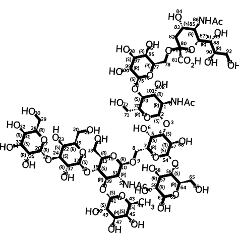 CC(=O)N[C@H]1[C@H](O[C@H]2[C@@H](O)[C@@H](CO[C@@H]3O[C@H](CO)[C@@H](O[C@@H]4O[C@H](CO)[C@H](O)[C@H](O[C@H]5O[C@H](CO)[C@H](O)[C@H](O)[C@H]5O)[C@H]4O)[C@H](O[C@@H]4O[C@@H](C)[C@@H](O)[C@@H](O)[C@@H]4O)[C@H]3NC(C)=O)O[C@@H](O[C@H]3[C@H](O)[C@@H](O)C(O)O[C@@H]3CO)[C@@H]2O)O[C@H](CO)[C@@H](O[C@@H]2O[C@H](CO[C@]3(C(=O)O)C[C@H](O)[C@@H](NC(C)=O)[C@H]([C@H](O)[C@H](O)CO)O3)[C@H](O)[C@H](O)[C@H]2O)[C@@H]1O